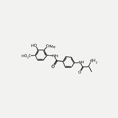 COc1c(NC(=O)c2ccc(NC(=O)C(C)N)cc2)ccc(C(=O)O)c1O